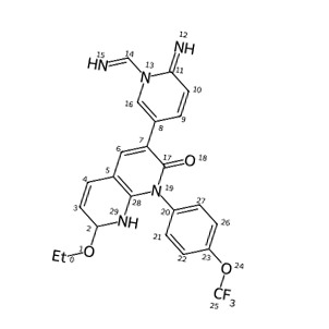 CCOC1C=Cc2cc(-c3ccc(=N)n(C=N)c3)c(=O)n(-c3ccc(OC(F)(F)F)cc3)c2N1